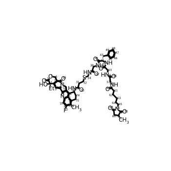 CC[C@@]1(O)C(=O)OCc2c1cc1n(c2=O)Cc2c-1nc1cc(F)c(C)c3c1c2[C@@H](NC(=O)CCSCNC(=O)CNC(=O)[C@H](Cc1ccccc1)NC(=O)CNC(=O)CNC(=O)CCCCCN1C(=O)CC(C)C1=O)CC3